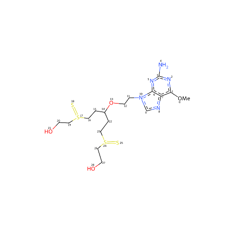 COc1nc(N)nc2c1ncn2CCO[C](CCS(=S)CCO)CCS(=S)CCO